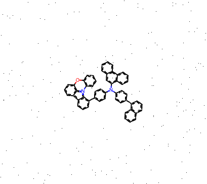 c1ccc2c(c1)Oc1cccc3c4cccc(-c5ccc(N(c6ccc(-c7cccc8ccccc78)cc6)c6cc7ccccc7c7ccccc67)cc5)c4n-2c13